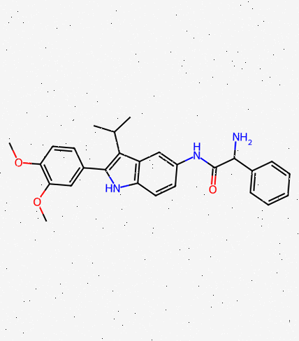 COc1ccc(-c2[nH]c3ccc(NC(=O)C(N)c4ccccc4)cc3c2C(C)C)cc1OC